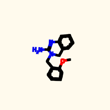 COc1ccccc1CN1Cc2ccccc2N=C1N